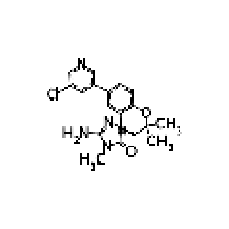 CN1C(=O)[C@]2(CC(C)(C)Oc3ccc(-c4cncc(Cl)c4)cc32)N=C1N